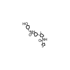 Cc1ccc(NC(=O)c2ccsc2)cc1-c1ccc(C(=O)NCc2ccc(O)cc2)cc1